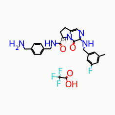 Cc1cc(F)cc(CNc2ncc3n(c2=O)[C@H](C(=O)NCc2ccc(CN)cc2)CC3)c1.O=C(O)C(F)(F)F